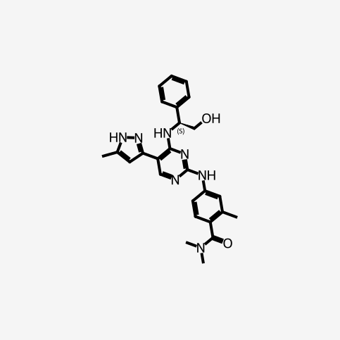 Cc1cc(-c2cnc(Nc3ccc(C(=O)N(C)C)c(C)c3)nc2N[C@H](CO)c2ccccc2)n[nH]1